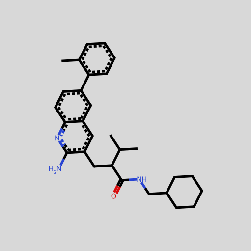 Cc1ccccc1-c1ccc2nc(N)c(CC(C(=O)NCC3CCCCC3)C(C)C)cc2c1